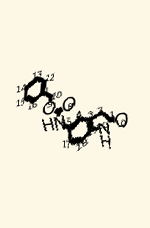 O=C1Cc2cc(NC(=O)OCc3ccccc3)ccc2N1